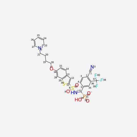 N#Cc1ccc(C(NS(=O)(=O)c2cc3ccc(OCCCC[n+]4ccccc4)cc3s2)P(=O)([O-])O)cc1C(F)(F)F